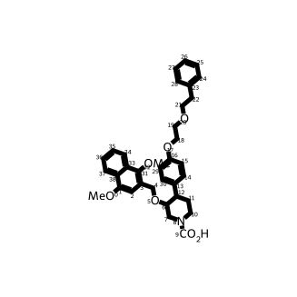 COc1cc(COC2CN(C(=O)O)CCC2c2ccc(OCCOCCc3ccccc3)cc2)c(OC)c2ccccc12